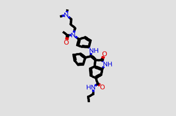 CCCNC(=O)c1ccc2c(c1)NC(=O)/C2=C(\Nc1ccc(N(CCCN(C)C)C(C)=O)cc1)c1ccccc1